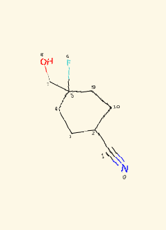 N#CC1CCC(F)(CO)CC1